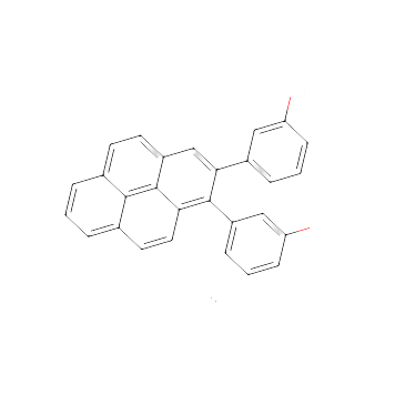 N.Oc1cccc(-c2cc3ccc4cccc5ccc(c2-c2cccc(O)c2)c3c45)c1